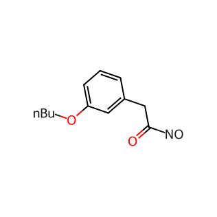 CCCCOc1cccc(CC(=O)N=O)c1